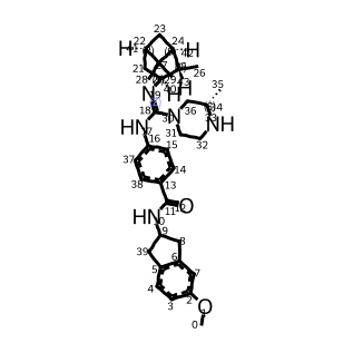 COc1ccc2c(c1)CC(NC(=O)c1ccc(N/C(=N/[C@H]3C[C@H]4C[C@@H]([C@@H]3C)C4(C)C)N3CCN[C@@H](C)C3)cc1)C2